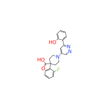 O=C(O)C1(c2ccccc2F)CCN(c2cnnc(-c3ccccc3O)c2)CC1